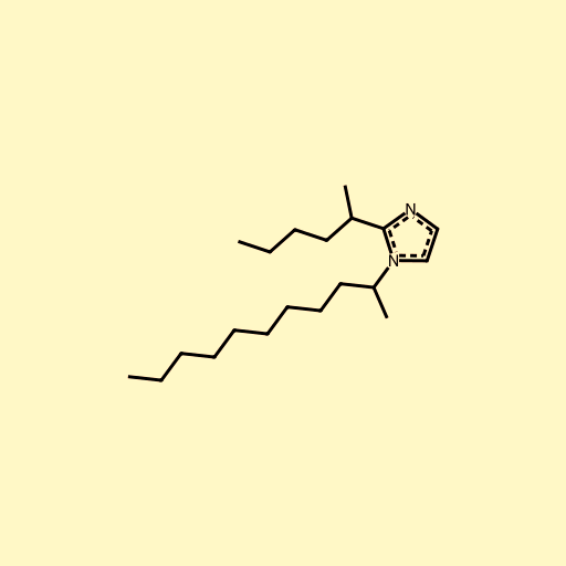 CCCCCCCCCC(C)n1ccnc1C(C)CCCC